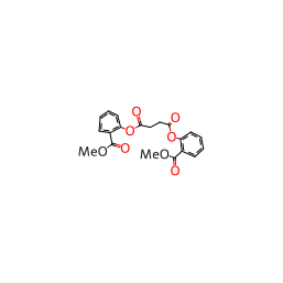 COC(=O)c1ccccc1OC(=O)CCC(=O)Oc1ccccc1C(=O)OC